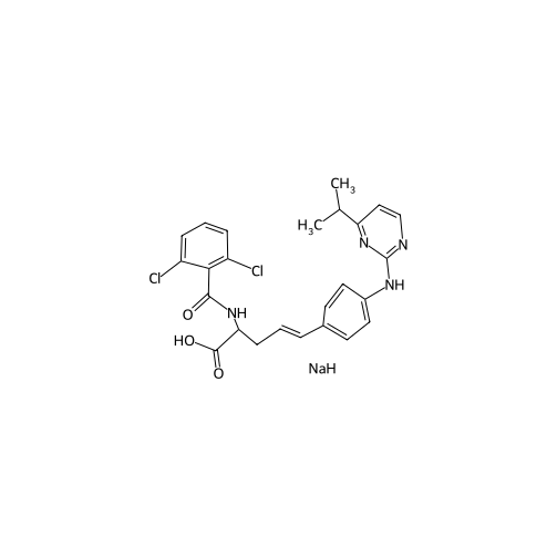 CC(C)c1ccnc(Nc2ccc(C=CCC(NC(=O)c3c(Cl)cccc3Cl)C(=O)O)cc2)n1.[NaH]